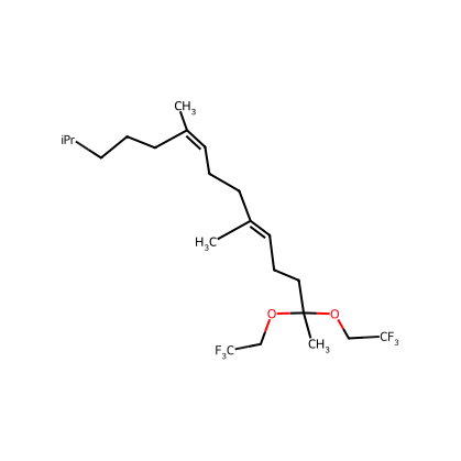 C/C(=C/CC/C(C)=C/CCC(C)(OCC(F)(F)F)OCC(F)(F)F)CCCC(C)C